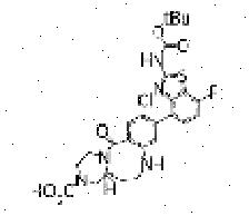 CC(C)(C)OC(=O)Nc1nc2c(-c3cc4c(cc3Cl)C(=O)N3CCN(C(=O)O)C[C@@H]3CCN4)ccc(F)c2s1